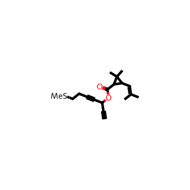 C#CC(C#CCCSC)OC(=O)C1C(C=C(C)C)C1(C)C